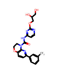 O=C(Nc1ccnc(OCC(O)CO)n1)N1CCOc2ccc(-c3cccc(C(F)(F)F)c3)nc21